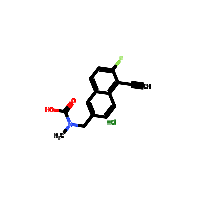 C#Cc1c(F)ccc2cc(CN(C)C(=O)O)ccc12.Cl